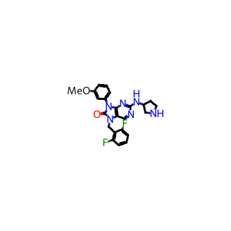 COc1cccc(-n2c(=O)n(Cc3c(F)cccc3F)c3cnc(NC4CCNC4)nc32)c1